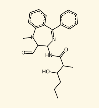 CCCC(O)C(C)C(=O)NC1N=C(c2ccccc2)c2ccccc2N(C)C1C=O